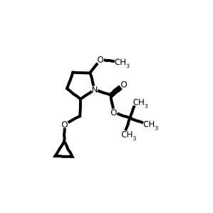 COC1CCC(COC2CC2)N1C(=O)OC(C)(C)C